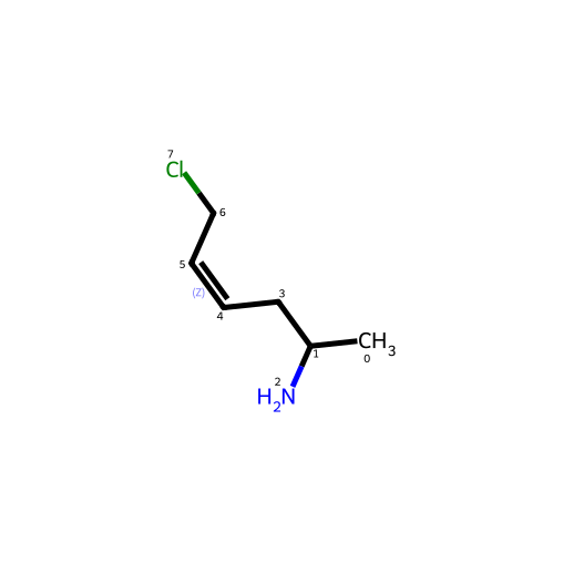 CC(N)C/C=C\CCl